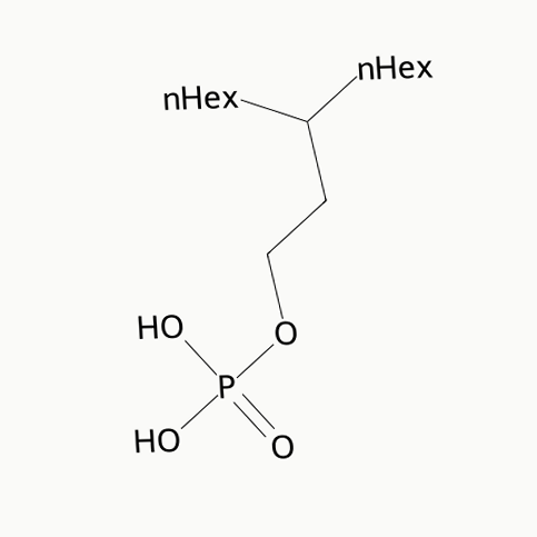 CCCCCCC(CCCCCC)CCOP(=O)(O)O